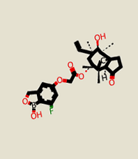 C=C[C@]1(C)C[C@@H](OC(=O)COc2cc(F)c3c(c2)COB3O)[C@]2(C)[C@H](C)CC[C@]3(CCC(=O)[C@H]32)[C@@H](C)[C@@H]1O